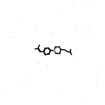 CC(C)=Cc1ccc(N2CCC(CCC(C)C)CC2)cc1